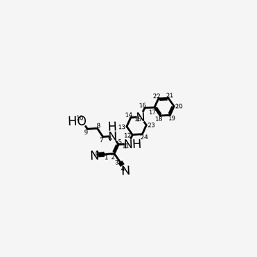 N#CC(C#N)=C(NCCCO)NC1CCN(Cc2ccccc2)CC1